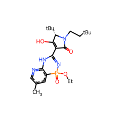 CCOP1(=O)N=C(C2=C(O)[C@H](C(C)(C)C)N(CCC(C)(C)C)C2=O)Nc2ncc(C)cc21